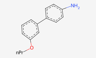 CCCOc1cccc(-c2ccc(N)cc2)c1